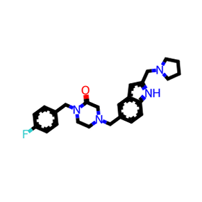 O=C1CN(Cc2ccc3[nH]c(CN4CCCC4)cc3c2)CCN1Cc1ccc(F)cc1